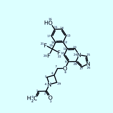 C=CC(=O)N1CC(COc2cc(-c3ccc(O)cc3C(F)(F)F)cn3cncc23)C1